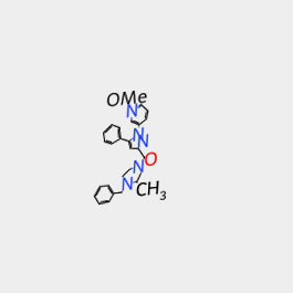 COc1ccc(-n2nc(C(=O)N3CCN(Cc4ccccc4)C(C)C3)cc2-c2ccccc2)cn1